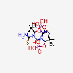 CCC(C)(C)C(OP(=O)(O)O)N(CN(C(N)=S)C(OP(=O)(O)O)C(C)(C)CC)C(N)=S